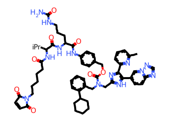 Cc1cccc(-c2nc(CN(Cc3ccccc3C3CCCCC3)C(=O)OCc3ccc(NC(=O)C(CCCNC(N)=O)NC(=O)C(NC(=O)CCCCCN4C(=O)C=CC4=O)C(C)C)cc3)[nH]c2-c2ccc3ncnn3c2)n1